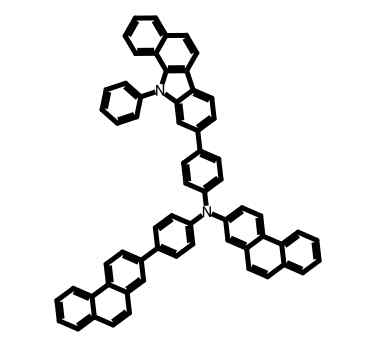 c1ccc(-n2c3cc(-c4ccc(N(c5ccc(-c6ccc7c(ccc8ccccc87)c6)cc5)c5ccc6c(ccc7ccccc76)c5)cc4)ccc3c3ccc4ccccc4c32)cc1